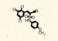 COc1ccc(NS(=O)(=O)/C(C#N)=C\c2cc(Cl)cc(Cl)c2Cl)cc1